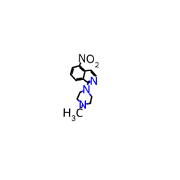 CN1CCN(c2nccc3c([N+](=O)[O-])cccc23)CC1